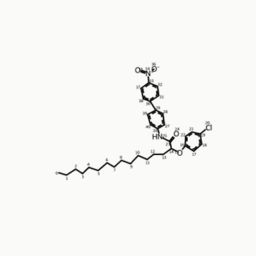 CCCCCCCCCCCCCCC(Oc1ccc(Cl)cc1)C(=O)Nc1ccc(-c2ccc([N+](=O)[O-])cc2)cc1